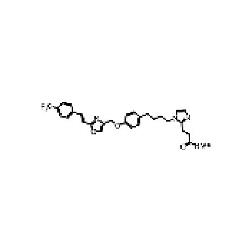 CNC(=O)CCc1nccn1CCCCc1ccc(OCc2coc(C=Cc3ccc(C(F)(F)F)cc3)n2)cc1